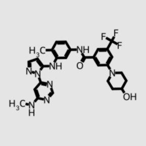 CNc1cc(-n2nccc2Nc2cc(NC(=O)c3cc(N4CCC(O)CC4)cc(C(F)(F)F)c3)ccc2C)ncn1